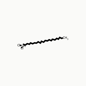 CCCCCCCCCCCCCCCCCCCCCCC[SiH](Cl)Cl